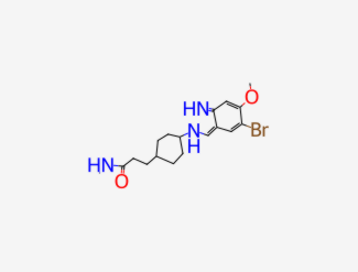 CNC(=O)CCC1CCC(N/C=C2/C=C(Br)C(OC)=CC2=N)CC1